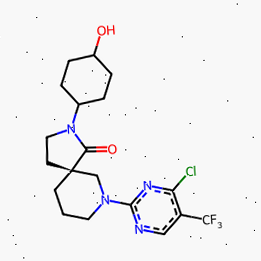 O=C1N(C2CCC(O)CC2)CC[C@@]12CCCN(c1ncc(C(F)(F)F)c(Cl)n1)C2